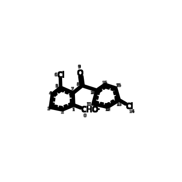 O=[C]c1cccc(Cl)c1C(=O)c1ccc(Cl)cc1